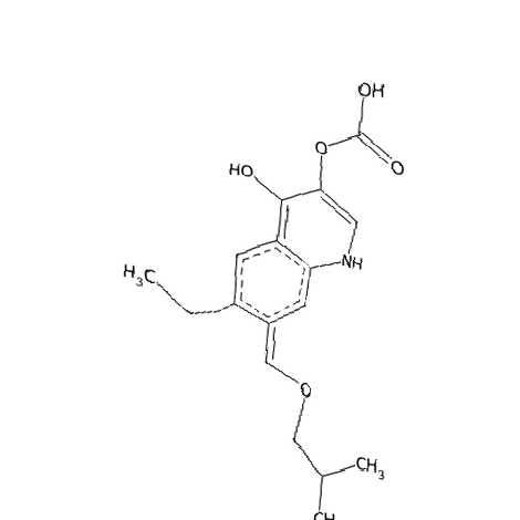 CCc1cc2c(cc1=COCC(C)C)NC=C(OC(=O)O)C=2O